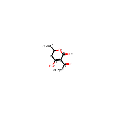 CCCCCCCC(=O)C1=C(O)CC(CCCCC)OC1=O